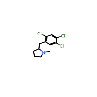 CN1CCCC1Cc1cc(Cl)c(Cl)cc1Cl